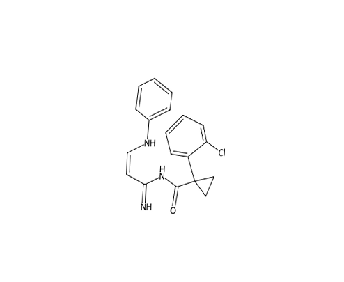 N=C(/C=C\Nc1ccccc1)NC(=O)C1(c2ccccc2Cl)CC1